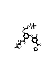 Cc1nsc(NC(=O)c2cc(Oc3ccc(C(=O)N4CCC4)cc3F)cc(O[C@@H](C)CO[Si](C)(C)C(C)(C)C)c2)n1